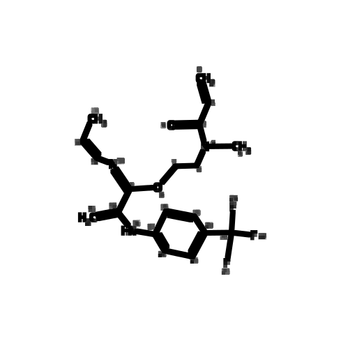 C=CC(=O)N(C)CCO/C(=N/C=C\C)C(=C)Nc1ccc(C(F)(F)F)cc1